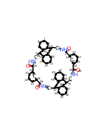 O=C1NCc2c3ccccc3c(c3ccccc23)CNC(=O)c2cccc(c2)C(=O)NCc2c3ccccc3c(c3ccccc23)CNC(=O)c2cccc1c2